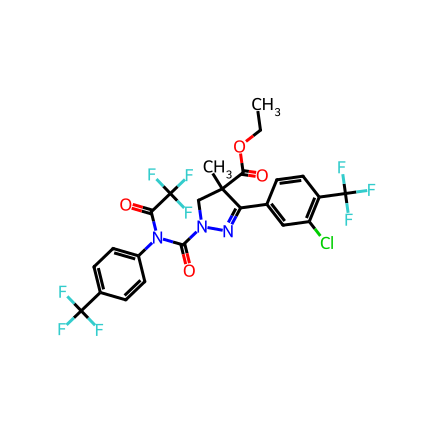 CCOC(=O)C1(C)CN(C(=O)N(C(=O)C(F)(F)F)c2ccc(C(F)(F)F)cc2)N=C1c1ccc(C(F)(F)F)c(Cl)c1